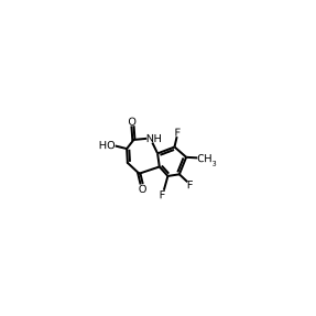 Cc1c(F)c(F)c2c(=O)cc(O)c(=O)[nH]c2c1F